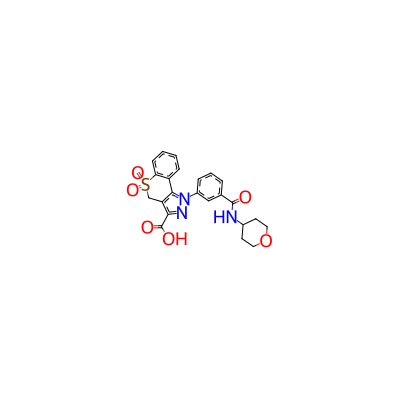 O=C(NC1CCOCC1)c1cccc(-n2nc(C(=O)O)c3c2-c2ccccc2S(=O)(=O)C3)c1